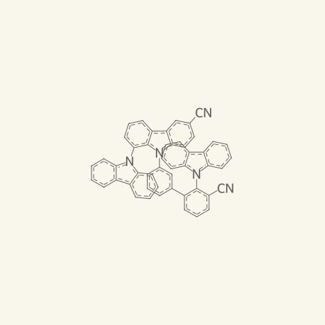 N#Cc1ccc2c(c1)c1cccc(-n3c4ccccc4c4ccccc43)c1n2-c1cccc(-c2cccc(C#N)c2-n2c3ccccc3c3ccccc32)c1